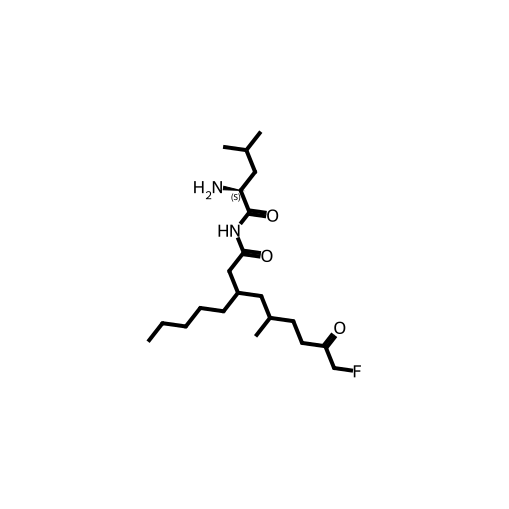 CCCCCC(CC(=O)NC(=O)[C@@H](N)CC(C)C)CC(C)CCC(=O)CF